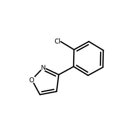 Clc1ccccc1-c1ccon1